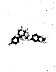 [2H]C1([2H])Oc2ccc(OC([2H])([2H])[C@@H]3C([2H])([2H])NCCC3([2H])c3ccc(F)cc3)cc2O1